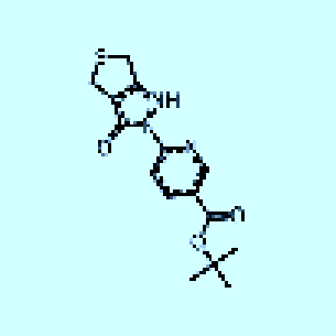 CC(C)(C)OC(=O)c1ccc(-n2[nH]c3c(c2=O)CSC3)nc1